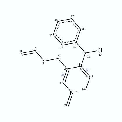 C=CCCC(=C/N=C)/C(=C\C)C(Cl)c1ccccc1